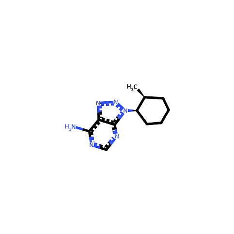 C[C@H]1CCCC[C@H]1n1nnc2c(N)ncnc21